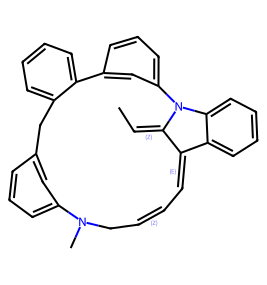 C/C=c1/c2c3ccccc3n1-c1cccc(c1)-c1ccccc1Cc1cccc(c1)N(C)C/C=C\C=2